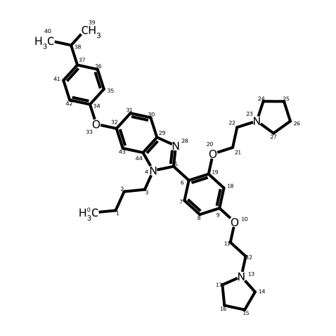 CCCCn1c(-c2ccc(OCCN3CCCC3)cc2OCCN2CCCC2)nc2ccc(Oc3ccc(C(C)C)cc3)cc21